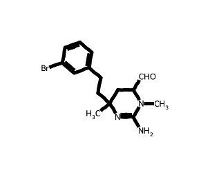 CN1C(N)=NC(C)(CCc2cccc(Br)c2)CC1C=O